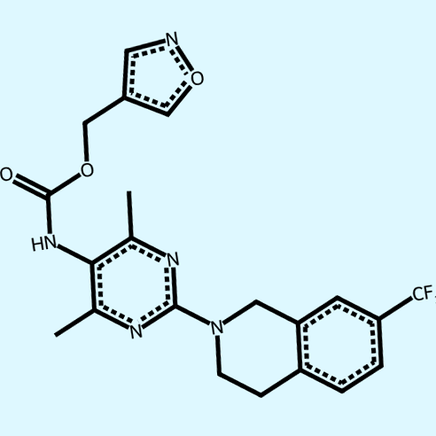 Cc1nc(N2CCc3ccc(C(F)(F)F)cc3C2)nc(C)c1NC(=O)OCc1cnoc1